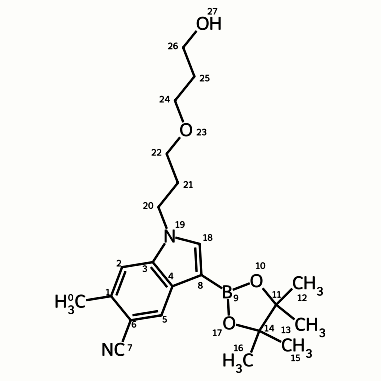 Cc1cc2c(cc1C#N)c(B1OC(C)(C)C(C)(C)O1)cn2CCCOCCCO